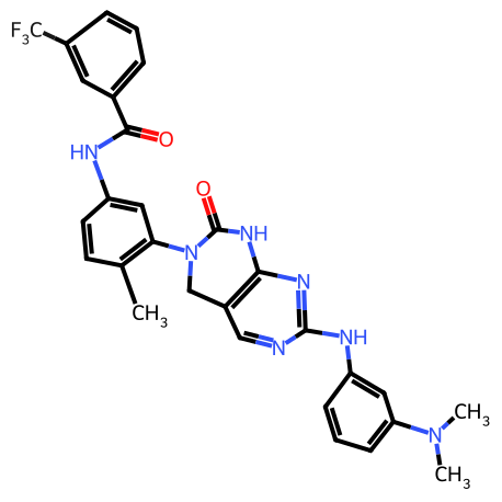 Cc1ccc(NC(=O)c2cccc(C(F)(F)F)c2)cc1N1Cc2cnc(Nc3cccc(N(C)C)c3)nc2NC1=O